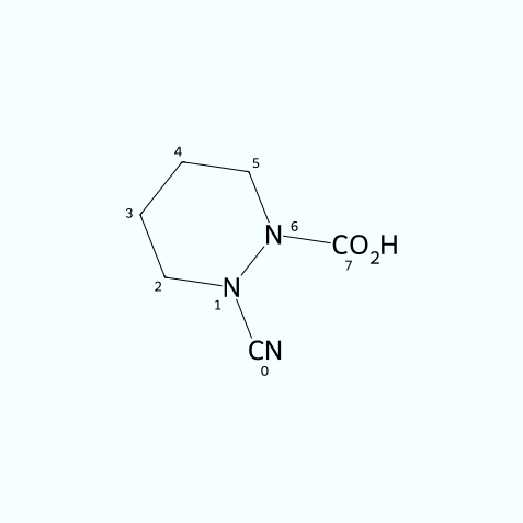 N#CN1CCCCN1C(=O)O